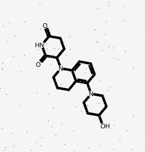 O=C1CCC(N2CCCc3c(N4CCC(O)CC4)cccc32)C(=O)N1